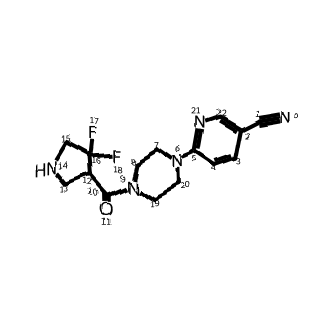 N#Cc1ccc(N2CCN(C(=O)C3CNCC3(F)F)CC2)nc1